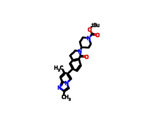 Cc1cn2cc(-c3ccc4c(c3)CCN(C3CCN(C(=O)OC(C)(C)C)CC3)C4=O)c(C)cc2n1